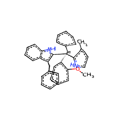 COc1ccccc1[C@](c1ccccc1)(c1[nH]ccc1C)c1[nH]c2ccccc2c1-c1ccccc1